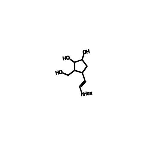 CCCCCCC=CC1CC(O)C(O)C1CO